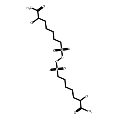 CC(=O)C(Cl)CCCCCS(=O)(=O)OOS(=O)(=O)CCCCCC(Cl)C(C)=O